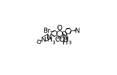 CC1(C)c2cc(N3CCN(C4CCC4)CC3)c(Br)cc2C(=O)c2c1[nH]c1cc(C#N)ccc21